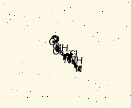 CN(C)CCCNc1ncc(/C=C/C(=O)NOC2CCCCO2)cc1Cl